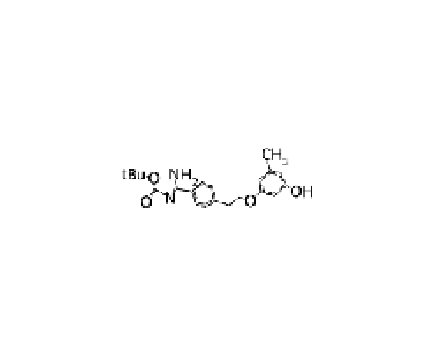 Cc1cc(O)cc(OCCc2ccc(C(N)=NC(=O)OC(C)(C)C)cc2)c1